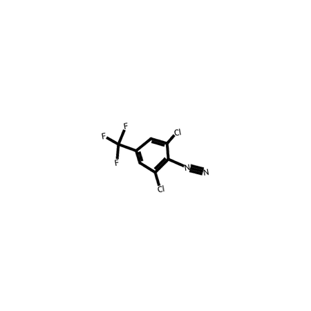 N#[N+]c1c(Cl)cc(C(F)(F)F)cc1Cl